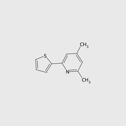 Cc1cc(C)nc(-c2[c]ccs2)c1